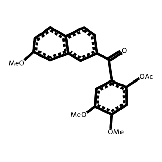 COc1ccc2ccc(C(=O)c3cc(OC)c(OC)cc3OC(C)=O)cc2c1